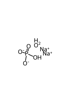 O.O=P([O-])([O-])O.[Na+].[Na+]